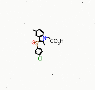 Cc1ccc2c(c1)c([S+]([O-])c1ccc(Cl)cc1)c(C)n2CC(=O)O